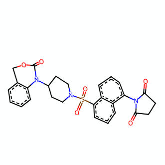 O=C1CCC(=O)N1c1cccc2c(S(=O)(=O)N3CCC(N4C(=O)OCc5ccccc54)CC3)cccc12